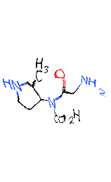 CC1NCCC1N(C(=O)O)C(=O)CN